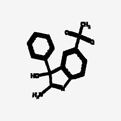 CS(=O)(=O)c1ccc2c(c1)C(O)(c1ccccc1)C(N)=N2